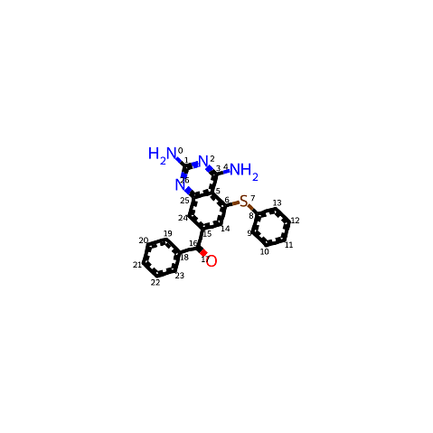 Nc1nc(N)c2c(Sc3ccccc3)cc(C(=O)c3ccccc3)cc2n1